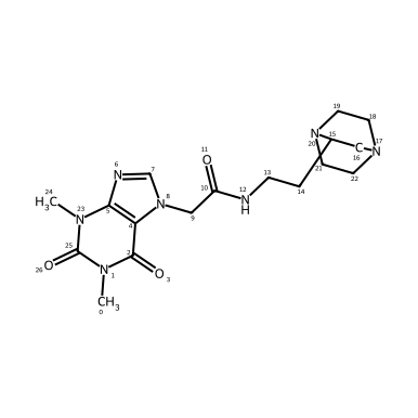 Cn1c(=O)c2c(ncn2CC(=O)NCCC2CN3CCN2CC3)n(C)c1=O